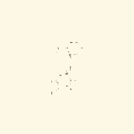 Cc1ccccc1CNc1ccc(Cl)cc1